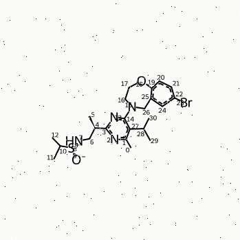 Cc1nc([C@H](C)CN[S+]([O-])C(C)C)nc(N2CCOc3ccc(Br)cc3C2)c1C(C)C